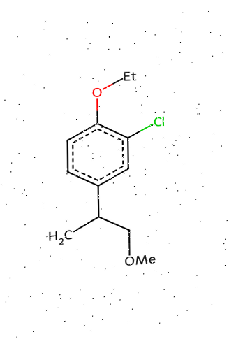 [CH2]C(COC)c1ccc(OCC)c(Cl)c1